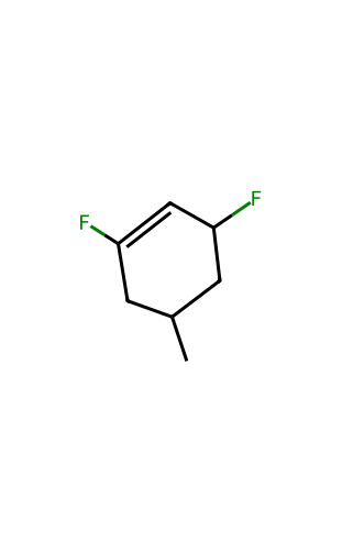 CC1CC(F)=CC(F)C1